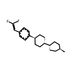 C[C@H]1CC[C@H]([C@H]2CC[C@H](c3ccc(C=C(F)F)cc3)CC2)CC1